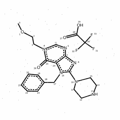 COCCn1cnc2nc(N3CCNCC3)n(Cc3ccccc3)c2c1=O.O=C(O)C(F)(F)F